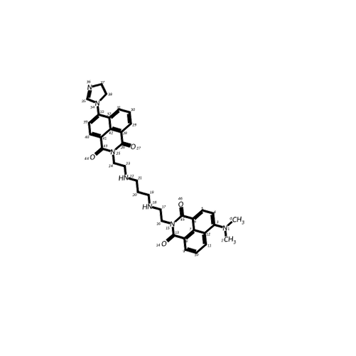 CN(C)c1ccc2c3c(cccc13)C(=O)N(CCNCCCNCCN1C(=O)c3cccc4c(N5C=NCC5)ccc(c34)C1=O)C2=O